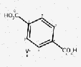 O=C(O)c1ccc(C(=O)O)cc1.[V]